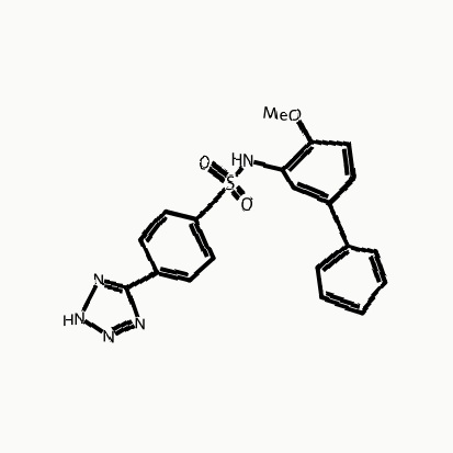 COc1ccc(-c2ccccc2)cc1NS(=O)(=O)c1ccc(-c2nn[nH]n2)cc1